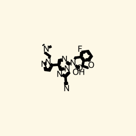 CN(C)CCn1nccc1-c1cnc(N(Cc2c(F)ccc3c2CCO3)C(=O)O)n2cc(C#N)nc12